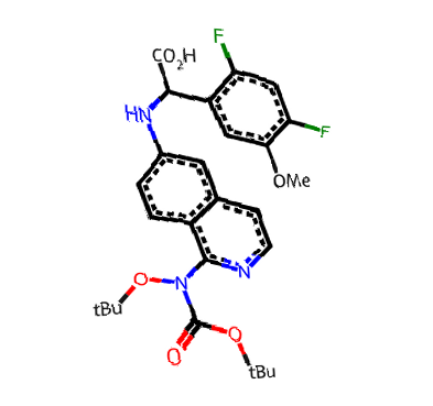 COc1cc(C(Nc2ccc3c(N(OC(C)(C)C)C(=O)OC(C)(C)C)nccc3c2)C(=O)O)c(F)cc1F